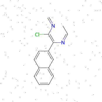 C=N/C(Cl)=C(\N=C/C)c1ccc2ccccc2c1